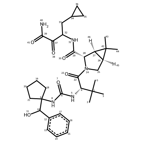 CC(C)(C)[C@H](NC(=O)NC1(C(O)c2ccccc2)CCCC1)C(=O)N1C[C@H]2[C@@H]([C@H]1C(=O)NC(CC1CC1)C(=O)C(N)=O)C2(C)C